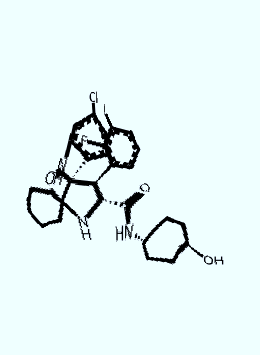 O=C(N[C@H]1CC[C@H](O)CC1)[C@@H]1NC2(CCCCC2)[C@@]2(C(=O)Nc3cc(Cl)ccc32)[C@H]1c1cccc(I)c1F